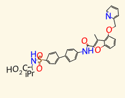 Cc1c(C(=O)Nc2ccc(-c3ccc(S(=O)(=O)N[C@H](C(=O)O)C(C)C)cc3)cc2)oc2cccc(OCc3ccccn3)c12